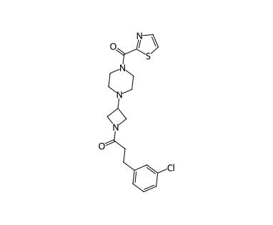 O=C(CCc1cccc(Cl)c1)N1CC(N2CCN(C(=O)c3nccs3)CC2)C1